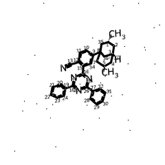 C[C@@H]1C[C@@H]2C[C@H](C)CC(c3ccc(C#N)c(-c4nc(-c5ccccc5)nc(-c5ccccc5)n4)c3)(C1)C2